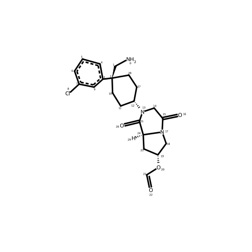 NC[C@]1(c2cccc(Cl)c2)CC[C@@H](N2CC(=O)N3C[C@H](OC=O)C[C@H]3C2=O)CC1